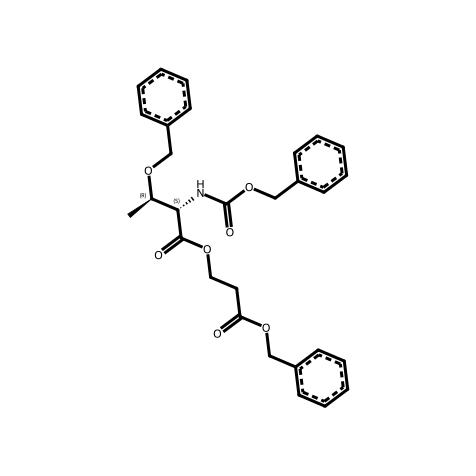 C[C@@H](OCc1ccccc1)[C@H](NC(=O)OCc1ccccc1)C(=O)OCCC(=O)OCc1ccccc1